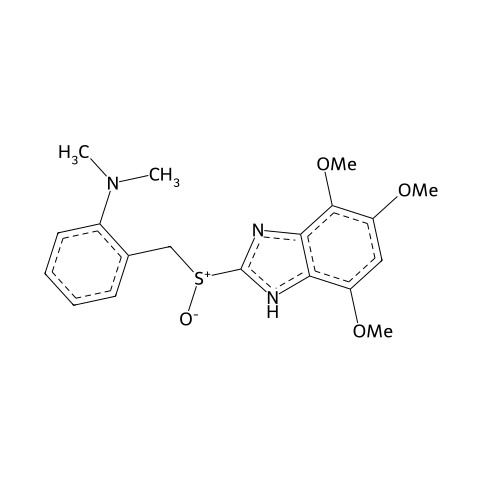 COc1cc(OC)c2[nH]c([S+]([O-])Cc3ccccc3N(C)C)nc2c1OC